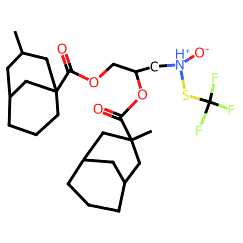 CC1CC2CCCC(C(=O)OCC(C[NH+]([O-])SC(F)(F)F)OC(=O)C3(C)CC4CCCC(C4)C3)(C1)C2